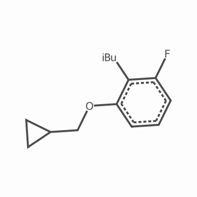 CCC(C)c1c(F)cccc1OCC1CC1